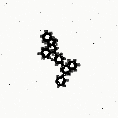 c1ccc(-c2nc(-c3ccc(-c4cc5nc6ccccc6n5c5ccccc45)cc3)c3ccccc3n2)cc1